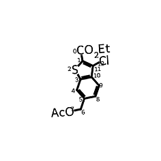 CCOC(=O)c1sc2cc(COC(C)=O)ccc2c1Cl